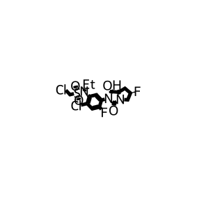 CCN(c1cc(N2C(=O)[C@@H]3C[C@H](F)CN3C2=O)c(F)cc1Cl)S(=O)(=O)CCl